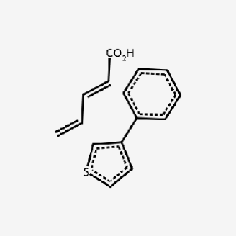 C=CC=CC(=O)O.c1ccc(-c2ccsc2)cc1